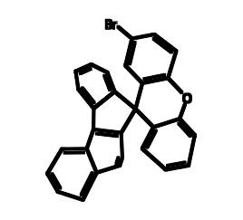 Brc1ccc2c(c1)C1(c3ccccc3O2)c2ccccc2-c2c1ccc1ccccc21